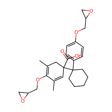 CC1=CC(C(=O)O)(C2(c3ccc(OCC4CO4)cc3)CCCCC2)CC(C)=C1OCC1CO1